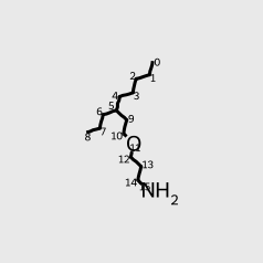 CCCCCC(CCC)CCOCCCN